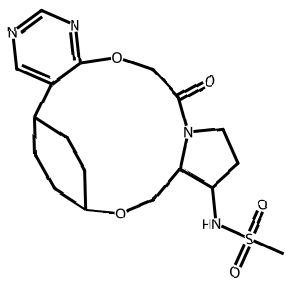 CS(=O)(=O)NC1CCN2C(=O)COc3ncncc3C3CCC(CC3)OCC12